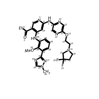 CCC(=O)c1cnc(Nc2cnc(OCCN3CCC(F)(F)C3)cn2)cc1Nc1cccc(-c2ncn(C)n2)c1OC